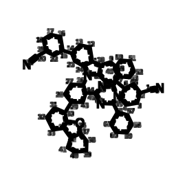 N#Cc1cccc(-c2ccc3c4ccc(-c5cccc(C#N)c5)cc4n(-c4ccc(-c5cccc6c5oc5ccccc56)cc4-c4nc(-c5ccccc5)nc(-c5ccccc5)n4)c3c2)c1